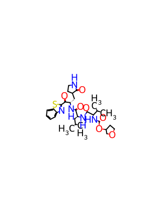 CC(C)C[C@H](NC(=O)[C@@H](NC(=O)OC1CCOC1)C(C)C)C(=O)N[C@@H](CC1CCNC1=O)C(=O)c1nc2ccccc2s1